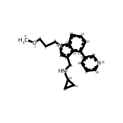 COCCCn1cc(CNC2CC2)c2c(-c3cccnc3)cccc21